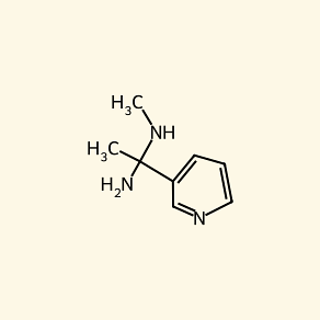 CNC(C)(N)c1cccnc1